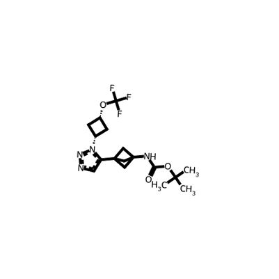 CC(C)(C)OC(=O)NC12CC(c3cnnn3[C@H]3C[C@@H](OC(F)(F)F)C3)(C1)C2